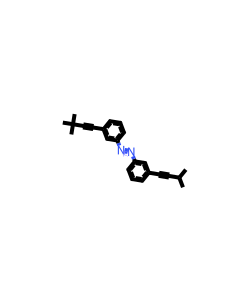 CC(C)C#Cc1cccc(/N=N/c2cccc(C#CC(C)(C)C)c2)c1